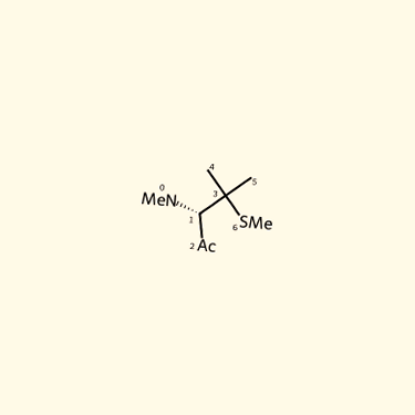 CN[C@@H](C(C)=O)C(C)(C)SC